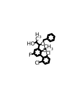 COc1c(-c2c(Cl)cccc2Cl)cc(F)cc1C(OCc1ccccc1)C(C)O